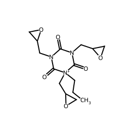 CCC[N+]1(CC2CO2)C(=O)N(CC2CO2)C(=O)N(CC2CO2)C1=O